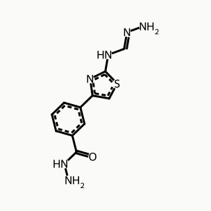 NN=CNc1nc(-c2cccc(C(=O)NN)c2)cs1